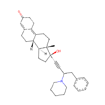 C[C@]12CCC3=C4CCC(=O)C=C4CC[C@H]3[C@@H]1CC[C@@]2(O)C#CC(Cc1ccccc1)N1CCCCC1